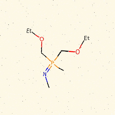 CCOCP(C)(COCC)=NC